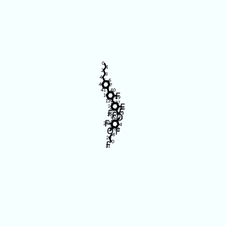 CCCCCc1ccc(-c2ccc(-c3cc(F)c(C(F)(F)Oc4cc(F)c(OCCCF)c(F)c4)c(F)c3)c(F)c2)cc1